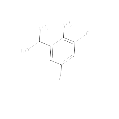 Cc1c(F)cc(F)cc1C(C)O